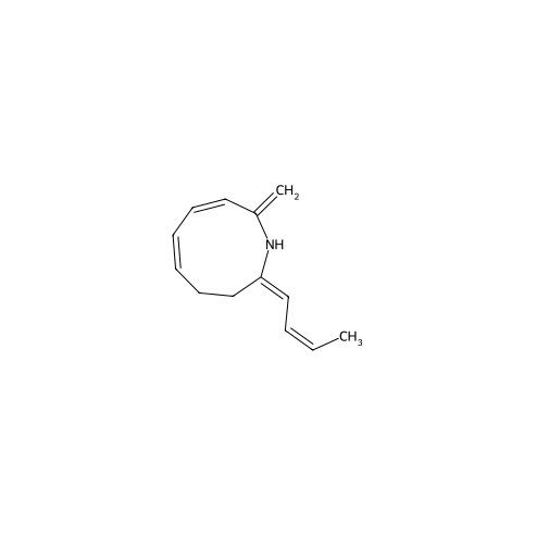 C=C1/C=C\C=C/CC/C(=C\C=C/C)N1